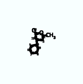 Cc1cc(-c2ccccc2)cc(=O)o1